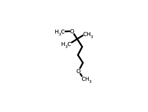 COCCCC(C)(C)OC